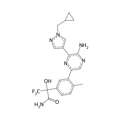 Cc1ccc(C(O)(C(N)=O)C(F)(F)F)cc1-c1cnc(N)c(-c2cnn(CC3CC3)c2)n1